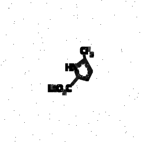 CCOC(=O)c1ccc(C(F)(F)F)[nH]1